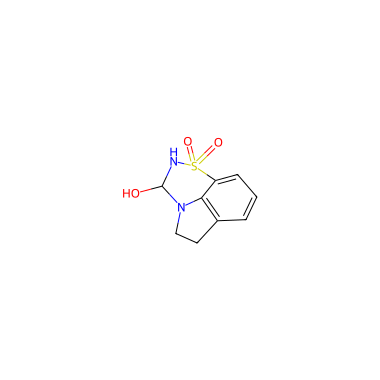 O=S1(=O)NC(O)N2CCc3cccc1c32